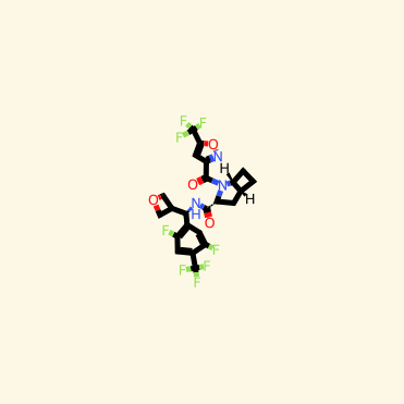 O=C(N[C@@H](c1cc(F)c(C(F)(F)F)cc1F)C1COC1)[C@H]1C[C@H]2CC[C@H]2N1C(=O)c1cc(C(F)(F)F)on1